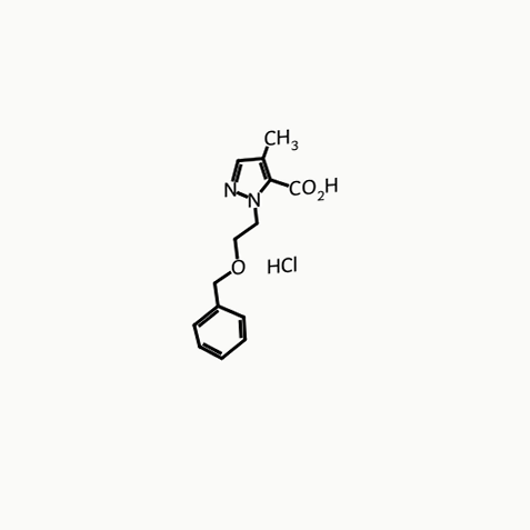 Cc1cnn(CCOCc2ccccc2)c1C(=O)O.Cl